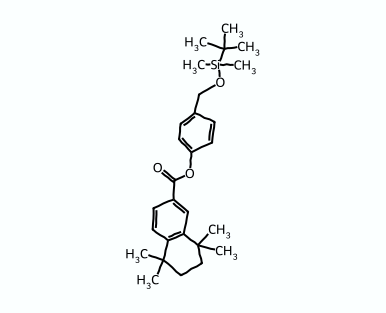 CC1(C)CCC(C)(C)c2cc(C(=O)Oc3ccc(CO[Si](C)(C)C(C)(C)C)cc3)ccc21